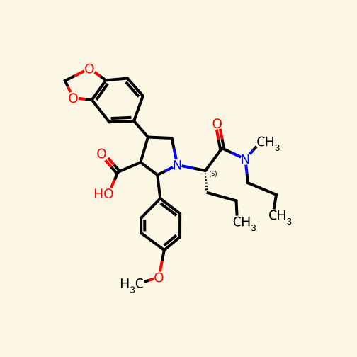 CCC[C@@H](C(=O)N(C)CCC)N1CC(c2ccc3c(c2)OCO3)C(C(=O)O)C1c1ccc(OC)cc1